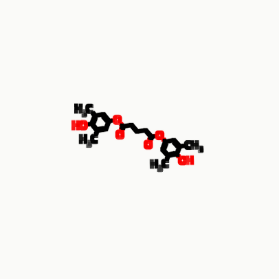 Cc1cc(OC(=O)CCCC(=O)Oc2cc(C)c(O)c(C)c2)cc(C)c1O